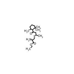 CCOC(=O)C(N)CSC(C)CC(=O)C1C(C)CCCC1(C)C